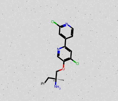 CC(C)C[C@](C)(N)COc1cnc(-c2ccnc(Cl)c2)cc1Cl